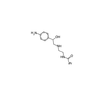 CC(C)C(=O)NCCNCC(O)c1ccc(N)cc1